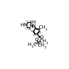 Cc1cc(C(=O)OC(C)(C)C)ccc1NN1CCNCC1